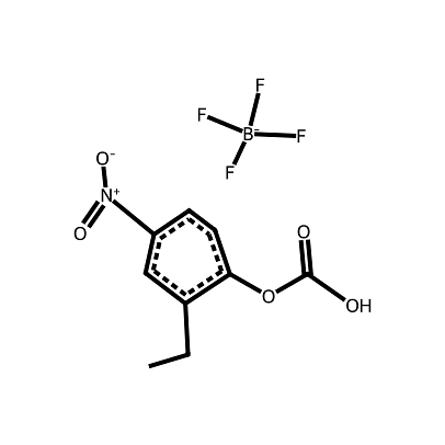 CCc1cc([N+](=O)[O-])ccc1OC(=O)O.F[B-](F)(F)F